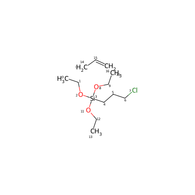 CCO[Si](CCCCl)(OCC)OCC.[CH2]C=C